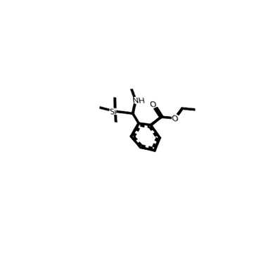 CCOC(=O)c1ccccc1C(NC)[Si](C)(C)C